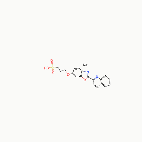 O=S(=O)(O)CCCOc1ccc2nc(-c3ccc4ccccc4n3)oc2c1.[Na]